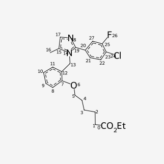 CCOC(=O)CCCCCOc1ccccc1Cn1c(C)cnc1-c1ccc(Cl)c(F)c1